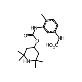 Cc1ccc(NC(=O)O)cc1NC(=O)OC1CC(C)(C)NC(C)(C)C1